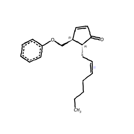 CCCC/C=C\C[C@H]1C(=O)C=C[C@@H]1COc1ccccc1